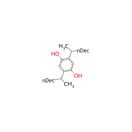 CCCCCCCCCCC(C)c1cc(O)c(C(C)CCCCCCCCCC)cc1O